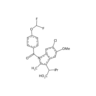 COc1cc2c(C(C(=O)O)C(C)C)c(C)n(C(=O)c3ccc(OC(F)F)cc3)c2cc1Cl